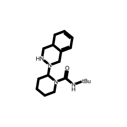 CC(C)(C)NC(=O)N1CCCCC1N1CC2=CC=CCC2CN1